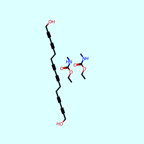 CCOC(=O)NC.CCOC(=O)NC.OCC#CC#CCCC#CC#CCCC#CC#CCO